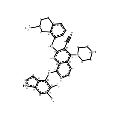 CN1CCc2cccc(Oc3nc4c(Oc5c(Cl)c(F)cc6[nH]ncc56)nccc4c(N4CCNCC4)c3C#N)c2C1